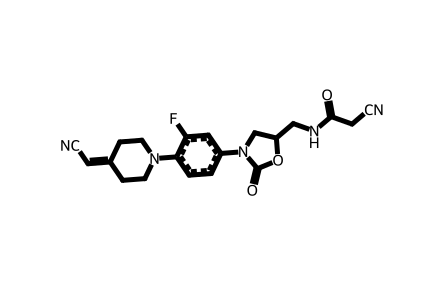 N#CC=C1CCN(c2ccc(N3CC(CNC(=O)CC#N)OC3=O)cc2F)CC1